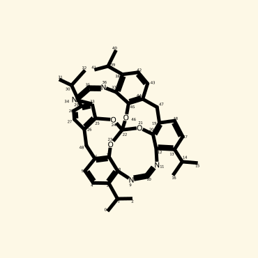 CC(C)c1ccc2c3c1N=C=Nc1c(C(C)C)ccc4c1OC1(O3)Oc3c(ccc(C(C)C)c3N=C=Nc3c(C(C)C)ccc(c3O1)C4)C2